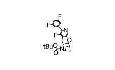 CC(C)(C)OC(=O)N1C2CC(C2)C(=O)C1Cc1ccnc(-c2cc(F)cc(F)c2)c1F